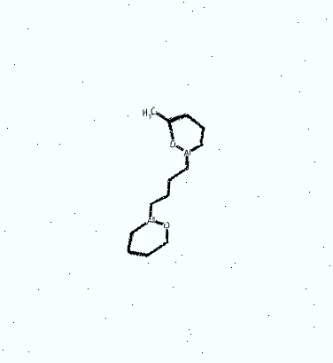 CC1CC[CH2][Al]([CH2]CC[CH2][Al]2[CH2]CCC[O]2)[O]1